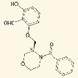 O=Cc1c(O)cccc1OC[C@@H]1COCCN1C(=O)c1ccccc1